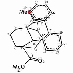 COC(=O)C12CCCC(C(=O)OC)(CCC1)C2c1ccccc1-c1ccccc1